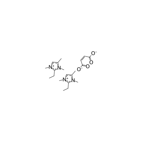 CCc1n(C)c(C)c[n+]1C.CCc1n(C)c(C)c[n+]1C.O=C([O-])/C=C\C(=O)[O-]